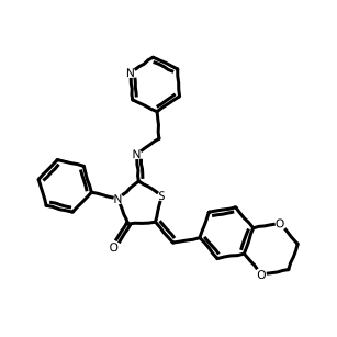 O=C1/C(=C/c2ccc3c(c2)OCCO3)S/C(=N\Cc2cccnc2)N1c1ccccc1